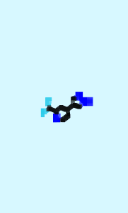 FC(F)c1cc(-c2cn[nH]c2)ccn1